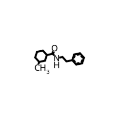 CC1CCCC(C(=O)NCCc2ccccc2)C1